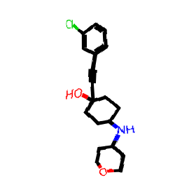 OC1(C#Cc2cccc(Cl)c2)CCC(NC2CCOCC2)CC1